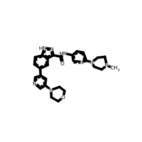 CN1CCN(c2ccc(NC(=O)c3n[nH]c4ccc(-c5cncc(N6CCOCC6)c5)cc34)cn2)CC1